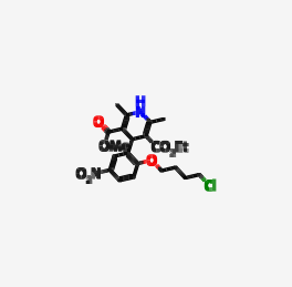 CCOC(=O)C1=C(C)NC(C)=C(C(=O)OC)C1c1cc([N+](=O)[O-])ccc1OCCCCCl